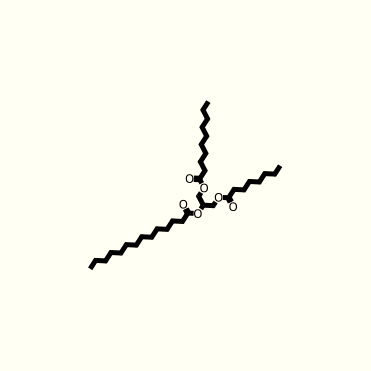 CCCCCCCCCCCCCC(=O)OC(COC(=O)CCCCCCC)COC(=O)CCCCCCCCC